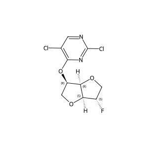 F[C@H]1CO[C@H]2[C@@H]1OC[C@H]2Oc1nc(Cl)ncc1Cl